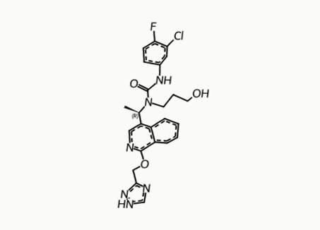 C[C@H](c1cnc(OCc2nc[nH]n2)c2ccccc12)N(CCCO)C(=O)Nc1ccc(F)c(Cl)c1